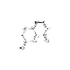 O=C1COC2=NC=NC(=O)C2=N1